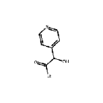 CCC(=O)C(O)c1ccncc1